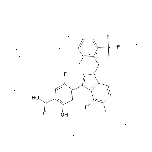 Cc1cccc(C(F)(F)F)c1Cn1nc(-c2cc(O)c(C(=O)O)cc2F)c2c(F)c(C)ccc21